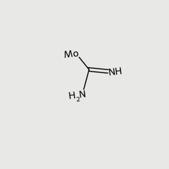 N=[C](N)[Mo]